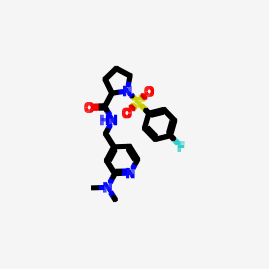 CN(C)c1cc(CNC(=O)C2CCCN2S(=O)(=O)c2ccc(F)cc2)ccn1